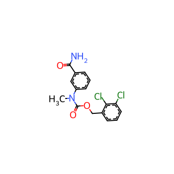 CN(C(=O)OCc1cccc(Cl)c1Cl)c1cccc(C(N)=O)c1